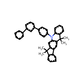 CC1(C)c2ccccc2-c2cc3c(cc21)N(c1ccc(-c2cccc(-c4ccccc4)c2)cc1)c1ccccc1C3(C)C